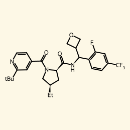 CC[C@@H]1C[C@H](C(=O)NC(c2ccc(C(F)(F)F)cc2F)C2COC2)N(C(=O)c2ccnc(C(C)(C)C)c2)C1